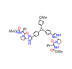 COC(=O)N[C@H](C(=O)N1CCC[C@H]1c1nc(-c2ccc(C3C(c4ccc(OC)cc4)C3c3ccc(-c4c[nH]c([C@@H]5CCCN5C(=O)[C@@H](NC(=O)OC)C(C)C)n4)cc3)cc2)c[nH]1)C(C)C